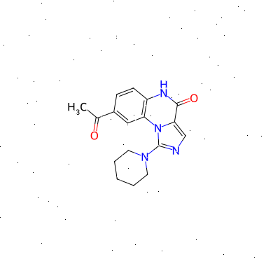 CC(=O)c1ccc2[nH]c(=O)c3cnc(N4CCCCC4)n3c2c1